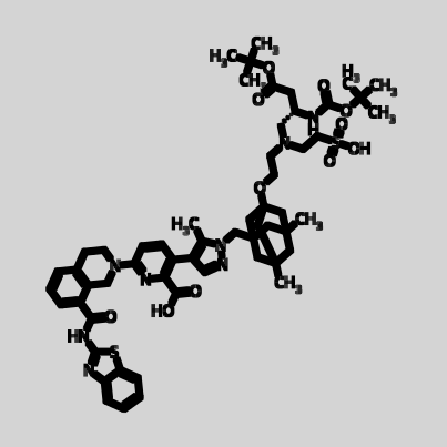 Cc1c(-c2ccc(N3CCc4cccc(C(=O)Nc5nc6ccccc6s5)c4C3)nc2C(=O)O)cnn1CC12CC3(C)CC(C)(C1)CC(OCCN(CCS(=O)(=O)O)C[C@H](CC(=O)OC(C)(C)C)NC(=O)OC(C)(C)C)(C3)C2